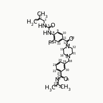 C=C(C)CNC(=O)Nc1ccc(C(=O)N2CCN(Cc3cccc(C(=O)N=C(C)C)c3)CC2)cc1F